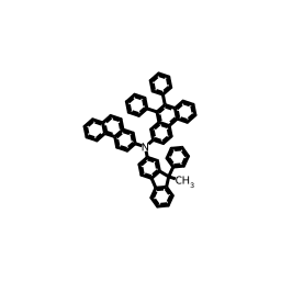 CC1(c2ccccc2)c2ccccc2-c2ccc(N(c3ccc4c(ccc5ccccc54)c3)c3ccc4c(c3)c(-c3ccccc3)c(-c3ccccc3)c3ccccc34)cc21